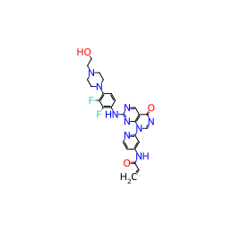 C=CC(=O)Nc1ccnc(-n2cnc(=O)c3cnc(Nc4ccc(N5CCN(CCO)CC5)c(F)c4F)nc32)c1